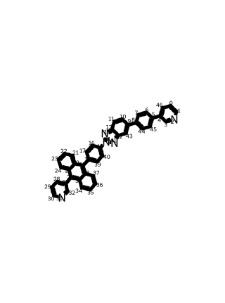 c1cncc(-c2ccc(-c3ccc4nn(-c5ccc(-c6c7ccccc7c(-c7cccnc7)c7ccccc67)cc5)nc4c3)cc2)c1